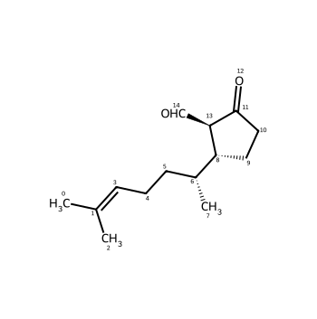 CC(C)=CCC[C@@H](C)[C@H]1CCC(=O)[C@@H]1C=O